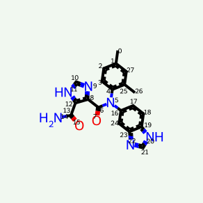 Cc1ccc(N(C(=O)c2nc[nH]c2C(N)=O)c2ccc3[nH]cnc3c2)c(C)c1